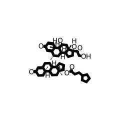 C[C@H]1C[C@@H]2[C@H]([C@@H](O)C[C@@]3(C)[C@H]2CC[C@]3(O)C(=O)CO)[C@@]2(C)C=CC(=O)C=C12.C[C@]12CC[C@H]3[C@@H](CCC4=CC(=O)CC[C@@]43C)[C@@H]1CC[C@@H]2OC(=O)CCC1CCCC1